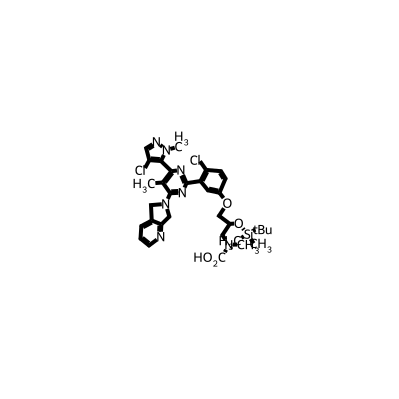 Cc1c(-c2c(Cl)cnn2C)nc(-c2cc(OCC(CN(C)C(=O)O)O[Si](C)(C)C(C)(C)C)ccc2Cl)nc1N1Cc2cccnc2C1